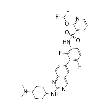 CN(C)C1CCC(Nc2ncc3cc(-c4c(F)ccc(NS(=O)(=O)c5cccnc5OC(F)F)c4F)ccc3n2)CC1